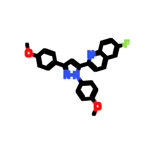 COc1ccc(-c2cc(-c3ccc4cc(F)ccc4n3)n(-c3ccc(OC)cc3)n2)cc1